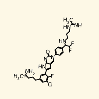 CC(=N)NCCCNC(c1ccc(-n2cc3cc(-c4cc(CCC[C@H](C)N)cc(Cl)c4F)[nH]c3nc2=O)cc1)C(F)F